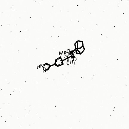 COC(=O)C12CC3CC(C1)C(NC(=O)C(C)(C)c1ccc(-c4cn[nH]c4)cc1)C(C3)C2